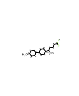 CCC[C@H](CCCC(F)F)C1CCC(C2CCC(C)CC2)CC1